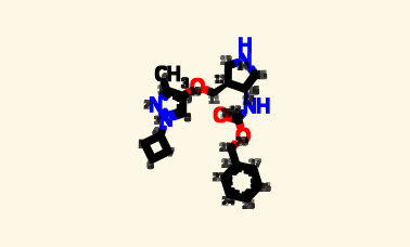 Cc1nn(C2CCC2)cc1OC[C@H]1CNC[C@@H]1NC(=O)OCc1ccccc1